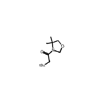 CC(C)(C)CC(=O)N1COCC1(C)C